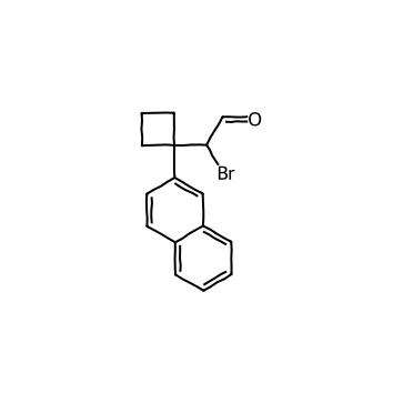 O=CC(Br)C1(c2ccc3ccccc3c2)CCC1